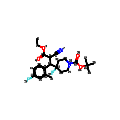 CCOC(=O)C(C#N)C(c1ccc(F)cc1C)C1(F)CCN(C(=O)OC(C)(C)C)CC1